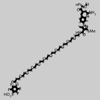 CCCN(OCC)C(=O)C1=Cc2ccc(-n3nc(SC)c(C(=O)NCCOCCOCCOCCOCCOCCOCCOCCOCCOCCOCCC(=O)Oc4c(F)c(F)c(S(=O)(=O)O)c(F)c4F)c3C)cc2N=C(N)C1